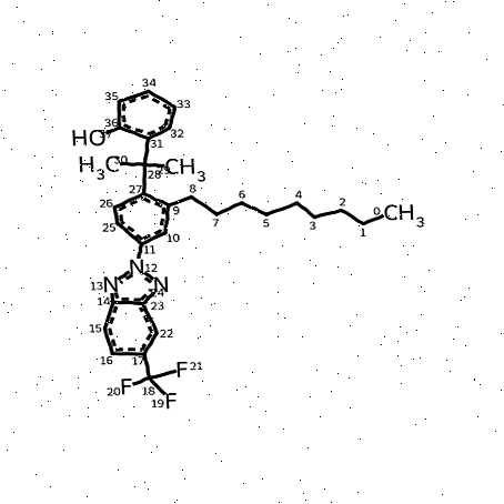 CCCCCCCCCc1cc(-n2nc3ccc(C(F)(F)F)cc3n2)ccc1C(C)(C)c1ccccc1O